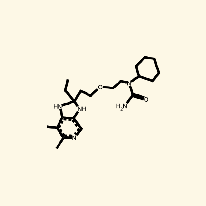 CCC1(CCOCCN(C(N)=O)C2CCCCC2)Nc2cnc(C)c(C)c2N1